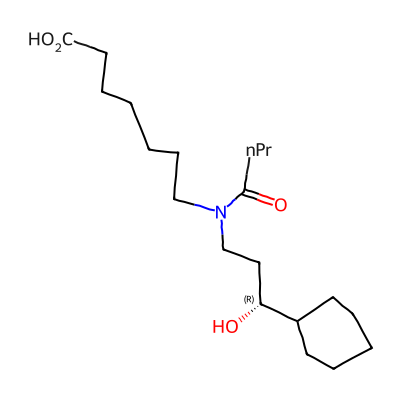 CCCC(=O)N(CCCCCCC(=O)O)CC[C@@H](O)C1CCCCC1